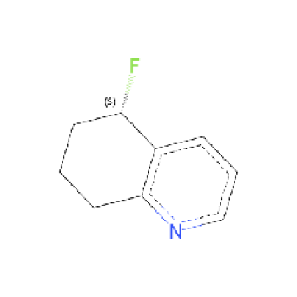 F[C@H]1CCCc2ncccc21